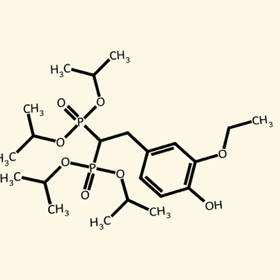 CCOc1cc(CC(P(=O)(OC(C)C)OC(C)C)P(=O)(OC(C)C)OC(C)C)ccc1O